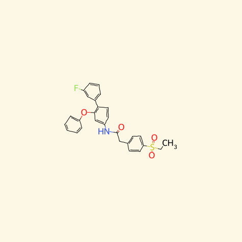 CCS(=O)(=O)c1ccc(CC(=O)Nc2ccc(-c3cccc(F)c3)c(Oc3ccccc3)c2)cc1